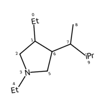 CCC1CN(CC)CC1C(C)C(C)C